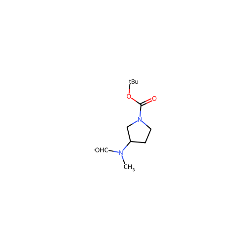 CN([C]=O)C1CCN(C(=O)OC(C)(C)C)C1